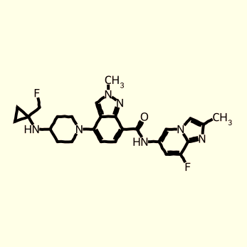 Cc1cn2cc(NC(=O)c3ccc(N4CCC(NC5(CF)CC5)CC4)c4cn(C)nc34)cc(F)c2n1